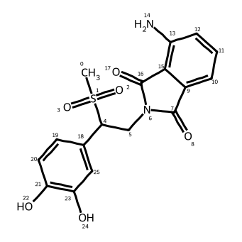 CS(=O)(=O)C(CN1C(=O)c2cccc(N)c2C1=O)c1ccc(O)c(O)c1